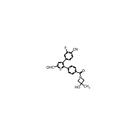 CC1(O)CN(C(=O)c2ccc(-c3sc(C=O)cc3-c3ccc(C#N)c(F)c3)cc2)C1